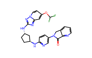 O=C1c2ncccc2CN1c1ccc(N[C@H]2CC[C@H](Nc3nc4cc(OC(F)F)ccn4n3)C2)nc1